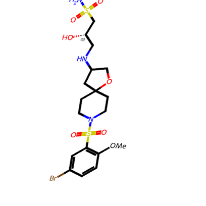 COc1ccc(Br)cc1S(=O)(=O)N1CCC2(CC1)CC(NC[C@H](O)CS(N)(=O)=O)CO2